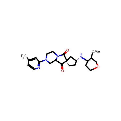 COC1COCCC1N[C@@H]1CC[C@]2(C1)C(=O)C1CN(c3cc(C(F)(F)F)ccn3)CCN1C2=O